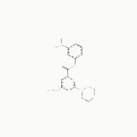 CONc1cc(C(=O)Nc2cccc(N(C)C)c2)nc(N2CCOCC2)n1